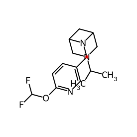 CC(C)N1CC2CC(C1)N2Cc1ccc(OC(F)F)nc1